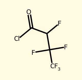 O=C(Cl)C(F)C(F)(F)C(F)(F)F